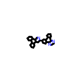 c1ccc2c(c1)c1ccccc1c1cc(-c3ccc4c(c3)c3ccccc3c3nccnc43)ncc21